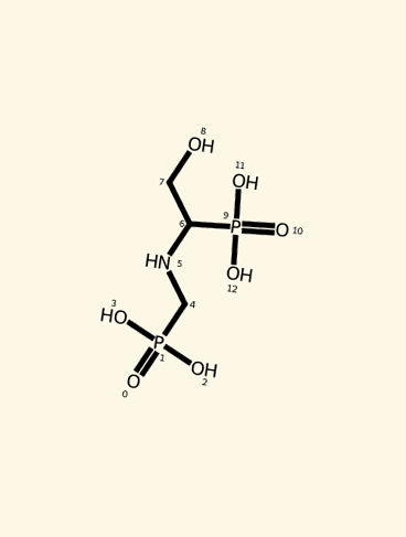 O=P(O)(O)CNC(CO)P(=O)(O)O